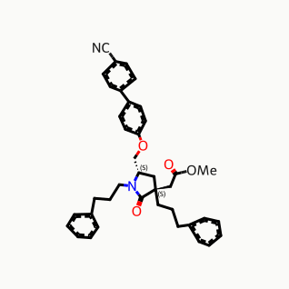 COC(=O)C[C@]1(CCCc2ccccc2)C[C@@H](COc2ccc(-c3ccc(C#N)cc3)cc2)N(CCCc2ccccc2)C1=O